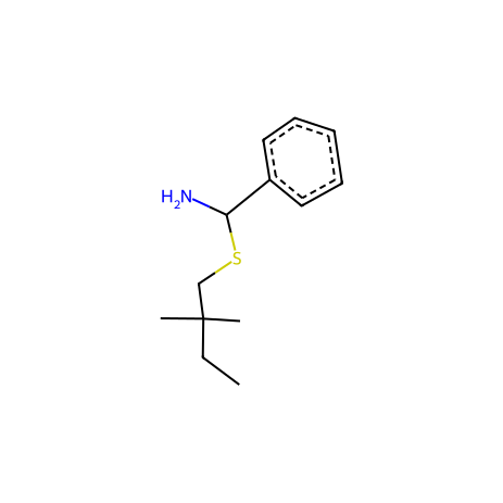 CCC(C)(C)CSC(N)c1ccccc1